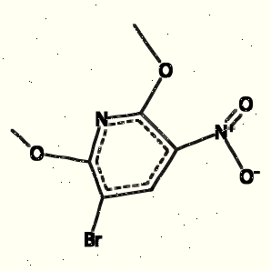 COc1nc(OC)c([N+](=O)[O-])cc1Br